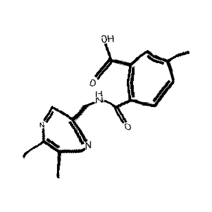 Cc1ccc(C(=O)Nc2cnc(C)c(C)n2)c(C(=O)O)c1